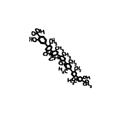 CC(=O)c1cc(C)c(-c2cc(C)c(-c3cc(C)c(-c4cc(C)c(-c5cc(C)c(-c6cc(C)c(-c7ccc(C(=O)O)c(O)c7)cc6C)cc5C)cc4C)cc3C)cc2C)cc1O